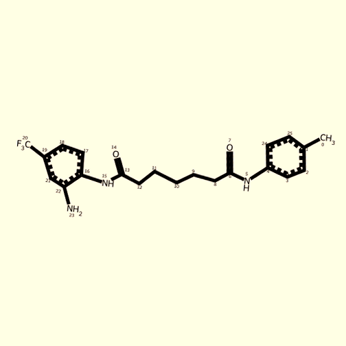 Cc1ccc(NC(=O)CCCCCC(=O)Nc2ccc(C(F)(F)F)cc2N)cc1